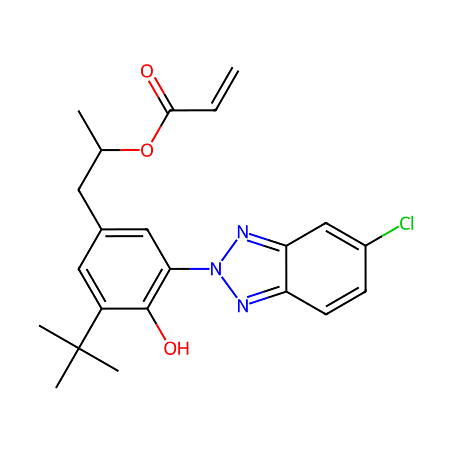 C=CC(=O)OC(C)Cc1cc(-n2nc3ccc(Cl)cc3n2)c(O)c(C(C)(C)C)c1